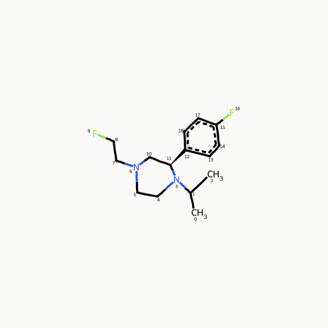 CC(C)N1CCN(CCF)C[C@H]1c1ccc(F)cc1